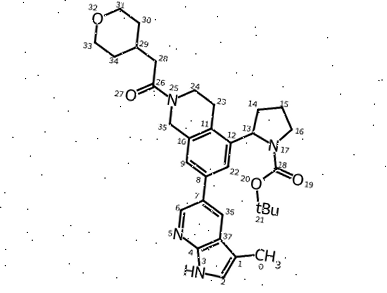 Cc1c[nH]c2ncc(-c3cc4c(c(C5CCCN5C(=O)OC(C)(C)C)c3)CCN(C(=O)CC3CCOCC3)C4)cc12